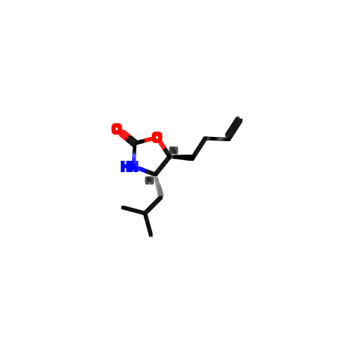 C=CCC[C@@H]1OC(=O)N[C@H]1CC(C)C